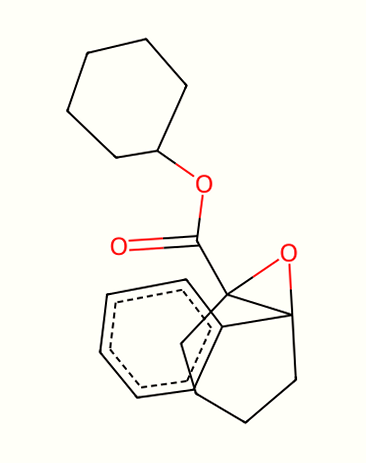 O=C(OC1CCCCC1)C12CCCCC1(c1ccccc1)O2